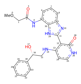 COCC(=O)Nc1cccc2nc(-c3c(NC[C@@H](O)c4ccccc4)cc[nH]c3=O)[nH]c12